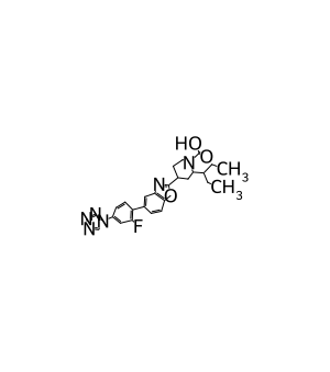 CCC(CC)C1CC(c2nc3cc(-c4ccc(-n5cnnn5)cc4F)ccc3o2)CCN1C(=O)O